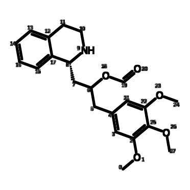 COc1cc(CC(C[C@H]2NCCc3ccccc32)OC=O)cc(OC)c1OC